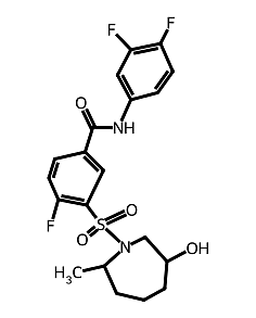 CC1CCCC(O)CN1S(=O)(=O)c1cc(C(=O)Nc2ccc(F)c(F)c2)ccc1F